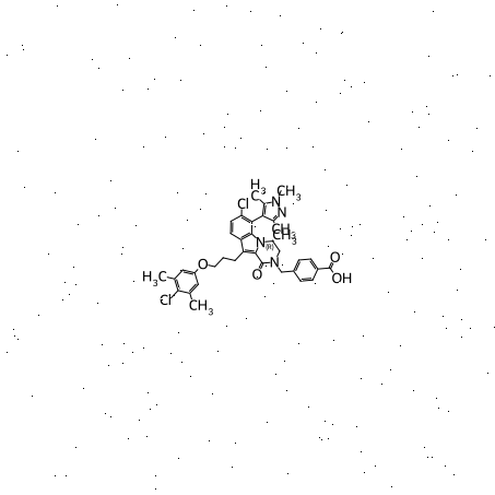 Cc1cc(OCCCc2c3n(c4c(-c5c(C)nn(C)c5C)c(Cl)ccc24)[C@H](C)CN(Cc2ccc(C(=O)O)cc2)C3=O)cc(C)c1Cl